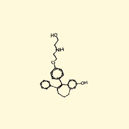 OCCNCCOc1ccc(C2=C(c3ccccc3)CCCc3cc(O)ccc32)cc1